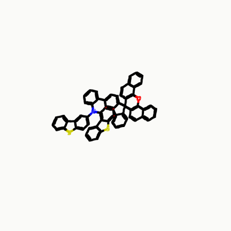 c1ccc(N(c2ccc3sc4ccccc4c3c2)c2cccc3sc4ccccc4c23)c(-c2ccc3c(c2)-c2ccccc2C32c3ccc4ccccc4c3Oc3c2ccc2ccccc32)c1